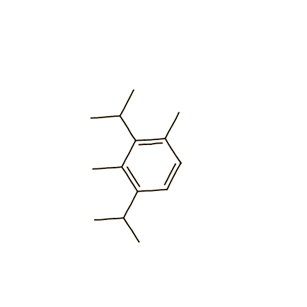 Cc1ccc(C(C)C)c(C)c1C(C)C